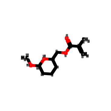 C=C(C)C(=O)OCC1CCCC(OC)O1